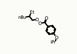 CCCCC([CH]OOC(=O)c1ccc(OC(C)C)cc1)CC